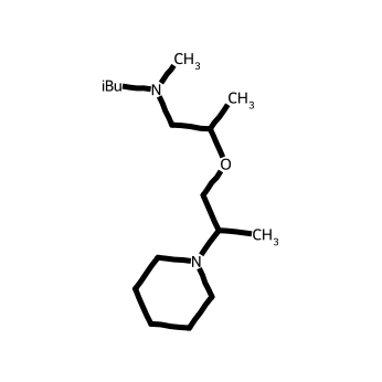 CCC(C)N(C)CC(C)OCC(C)N1CCCCC1